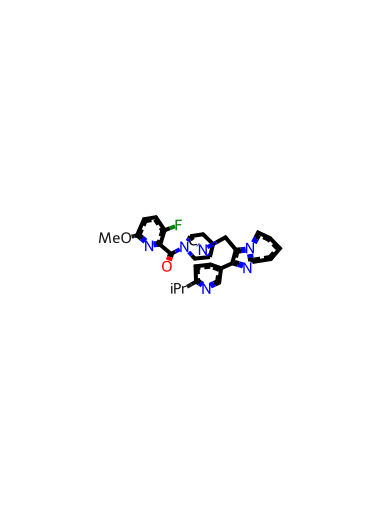 COc1ccc(F)c(C(=O)N2CC3CCC2CN3Cc2c(-c3ccc(C(C)C)nc3)nc3ccccn23)n1